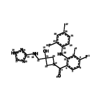 Cc1c(F)ccc(C(=O)N2CC(O)(CNc3nc[nH]n3)C2)c1Nc1ccc(I)cc1F